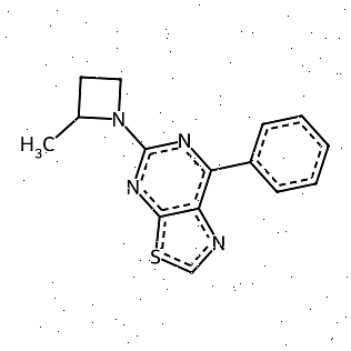 CC1CCN1c1nc(-c2ccccc2)c2ncsc2n1